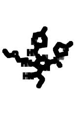 CCOCCNc1c(Nc2ccc(C)cn2)nc(N(C)[C@H]2CCN(C)C2)nc1C(=N)CC